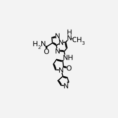 CNc1cc(Nc2cccn(-c3ccncc3)c2=O)nc2c(C(N)=O)cnn12